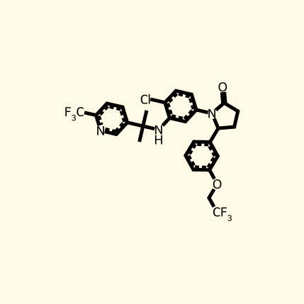 CC(C)(Nc1cc(N2C(=O)CCC2c2cccc(OCC(F)(F)F)c2)ccc1Cl)c1ccc(C(F)(F)F)nc1